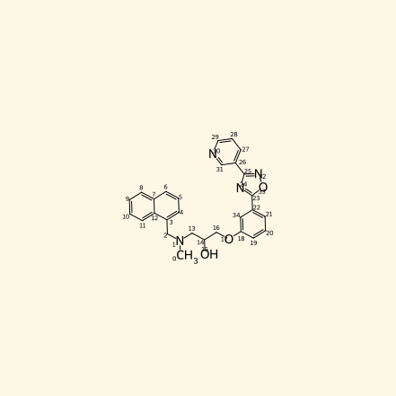 CN(Cc1cccc2ccccc12)CC(O)COc1cccc(-c2nc(-c3cccnc3)no2)c1